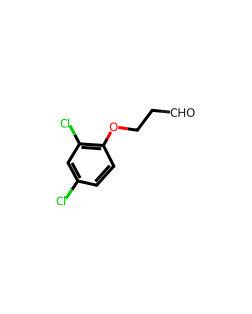 O=CCCOc1ccc(Cl)cc1Cl